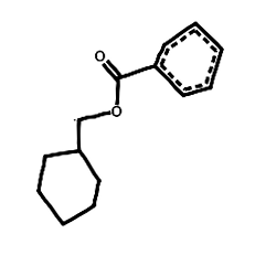 O=C(O[CH]C1CCCCC1)c1ccccc1